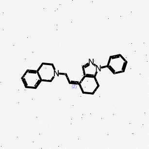 C(/CN1CCc2ccccc2C1)=C1\CCCc2c1cnn2-c1ccccc1